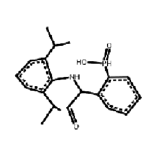 CC(C)c1cccc(C(C)C)c1NC(C=O)c1ccccc1[PH](=O)O